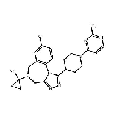 Cc1nccc(N2CCC(c3nnc4n3-c3ccc(Cl)cc3CN(C3(C#N)CC3)C4)CC2)n1